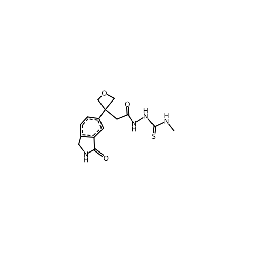 CNC(=S)NNC(=O)CC1(c2ccc3c(c2)C(=O)NC3)COC1